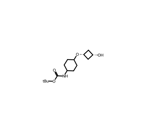 CC(C)(C)OC(=O)NC1CCC(O[C@H]2C[C@@H](O)C2)CC1